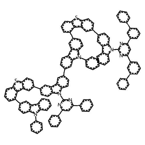 c1ccc(-c2cccc(-c3cc(-c4cccc(-c5ccccc5)c4)nc(-n4c5ccccc5c5cc(-c6ccc7sc8cccc(-c9ccc%10c(c9)c9ccc(-c%11ccc%12c(c%11)c%11cc(-c%13ccc%14sc%15cccc(-c%16ccc%17c(c%16)c%16ccccc%16n%17-c%16ccccc%16)c%15c%14c%13)ccc%11n%12-c%11nc(-c%12ccccc%12)cc(-c%12ccccc%12)n%11)cc9n%10-c9ccccc9)c8c7c6)ccc54)n3)c2)cc1